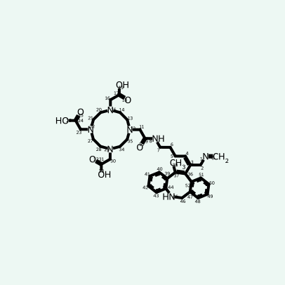 C=NCC(=C/CCCNC(=O)CN1CCN(CC(=O)O)CCN(CC(=O)O)CCN(CC(=O)O)CC1)/C1=C(\C)c2ccccc2NCc2ccccc21